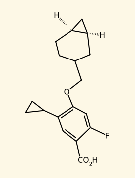 O=C(O)c1cc(C2CC2)c(OCC2CC[C@H]3C[C@H]3C2)cc1F